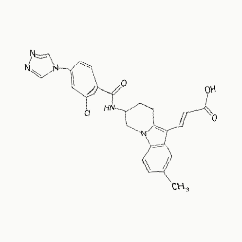 Cc1ccc2c(c1)c(/C=C/C(=O)O)c1n2CC(NC(=O)c2ccc(-n3cnnc3)cc2Cl)CC1